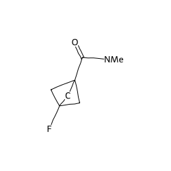 CNC(=O)C12CC(F)(C1)C2